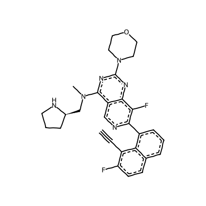 C#Cc1c(F)ccc2cccc(-c3ncc4c(N(C)C[C@H]5CCCN5)nc(N5CCOCC5)nc4c3F)c12